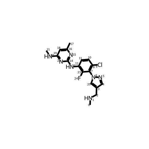 CNCc1cnn(-c2c(Cl)ccc(Nc3nc(C)cc(NC)n3)c2F)c1